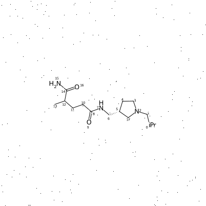 CC(C)CN1CC[C@@H](CNC(=O)[CH]CC(C)C(N)=O)C1